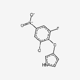 O=[N+]([O-])c1cc(F)c(Oc2cc[nH]c2)c(Cl)c1